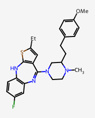 CCc1cc2c(s1)Nc1ccc(F)cc1N=C2N1CCN(C)C(CCc2ccc(OC)cc2)C1